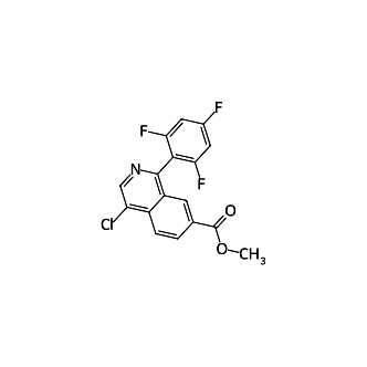 COC(=O)c1ccc2c(Cl)cnc(-c3c(F)cc(F)cc3F)c2c1